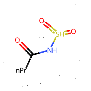 CCCC(=O)N[SH](=O)=O